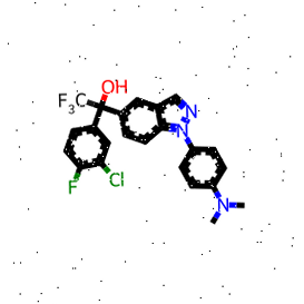 CN(C)c1ccc(-n2ncc3cc(C(O)(c4ccc(F)c(Cl)c4)C(F)(F)F)ccc32)cc1